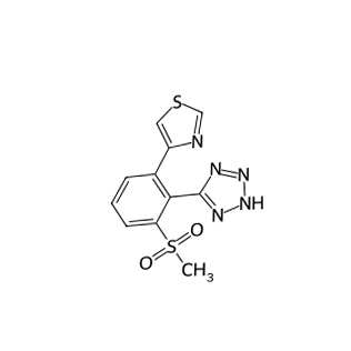 CS(=O)(=O)c1cccc(-c2cscn2)c1-c1nn[nH]n1